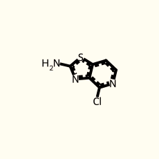 Nc1nc2c(Cl)nccc2s1